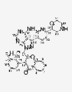 CC(c1oc2ccccc2c(=O)c1-c1cccc(F)c1)n1nc(-c2ccc(C3CNCCO3)nc2)c2c(N)ncnc21